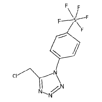 FS(F)(F)(F)(F)c1ccc(-n2nnnc2CCl)cc1